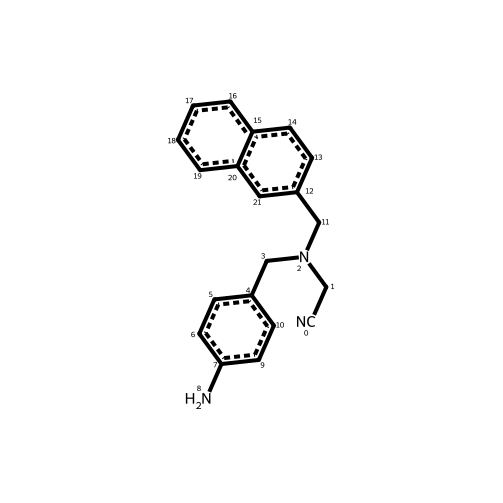 N#CCN(Cc1ccc(N)cc1)Cc1ccc2ccccc2c1